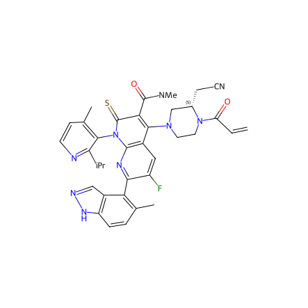 C=CC(=O)N1CCN(c2c(C(=O)NC)c(=S)n(-c3c(C)ccnc3C(C)C)c3nc(-c4c(C)ccc5[nH]ncc45)c(F)cc23)C[C@@H]1CC#N